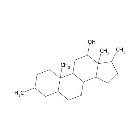 CC1CCC2(C)C(CCC3C2CC(O)C2(C)C(C)CCC32)C1